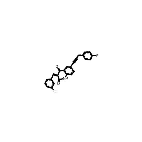 O=C1Nc2ccc(C#CCc3ccc(F)cc3)cc2C(=O)/C1=C/c1cccc(Cl)c1